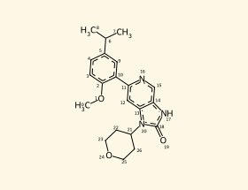 COc1ccc(C(C)C)cc1-c1cc2c(cn1)[nH]c(=O)n2C1CCOCC1